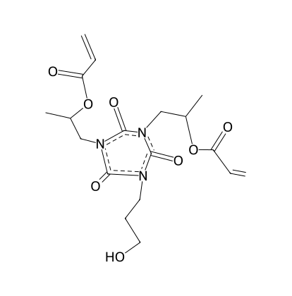 C=CC(=O)OC(C)Cn1c(=O)n(CCCO)c(=O)n(CC(C)OC(=O)C=C)c1=O